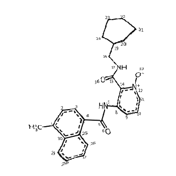 Cc1ccc(C(=O)Nc2ccc[n+]([O-])c2C(=O)NCC2CCCCC2)c2ccccc12